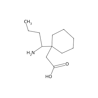 CCCC(N)C1(CC(=O)O)CCCCC1